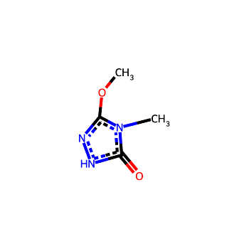 COc1n[nH]c(=O)n1C